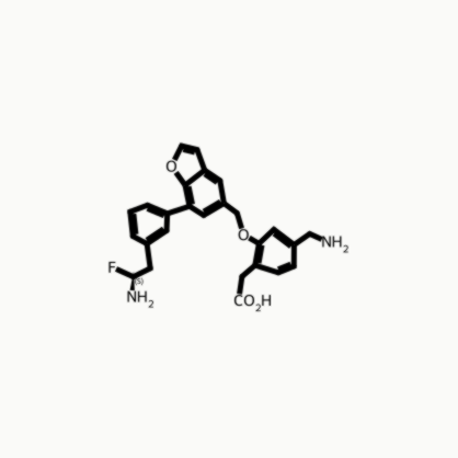 NCc1ccc(CC(=O)O)c(OCc2cc(-c3cccc(C[C@@H](N)F)c3)c3occc3c2)c1